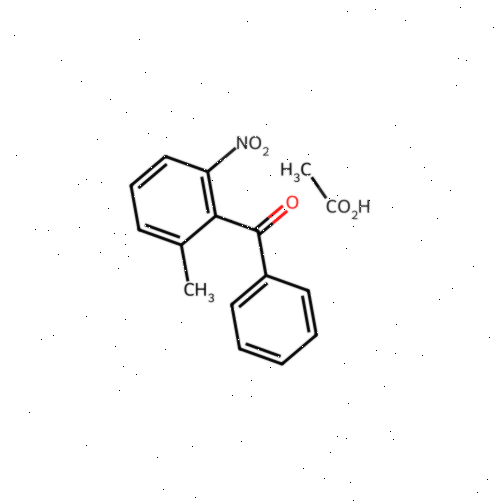 CC(=O)O.Cc1cccc([N+](=O)[O-])c1C(=O)c1ccccc1